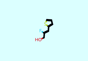 OCC(F)=Cc1cccs1